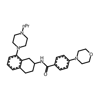 CCCN1CCN(c2cccc3c2CC(NC(=O)c2ccc(N4CCOCC4)cc2)CC3)CC1